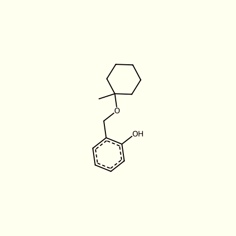 CC1(OCc2ccccc2O)CCCCC1